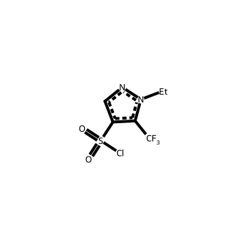 CCn1ncc(S(=O)(=O)Cl)c1C(F)(F)F